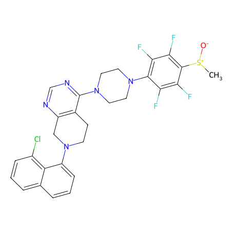 C[S+]([O-])c1c(F)c(F)c(N2CCN(c3ncnc4c3CCN(c3cccc5cccc(Cl)c35)C4)CC2)c(F)c1F